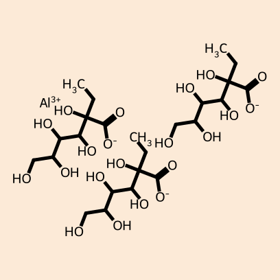 CCC(O)(C(=O)[O-])C(O)C(O)C(O)CO.CCC(O)(C(=O)[O-])C(O)C(O)C(O)CO.CCC(O)(C(=O)[O-])C(O)C(O)C(O)CO.[Al+3]